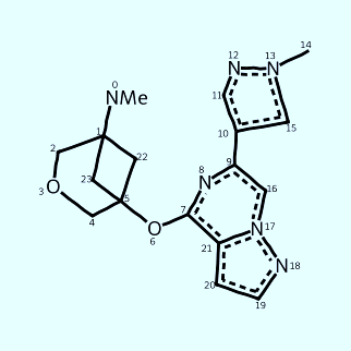 CNC12COCC(Oc3nc(-c4cnn(C)c4)cn4nccc34)(C1)C2